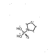 OP(O)(=S)N1CCSC1